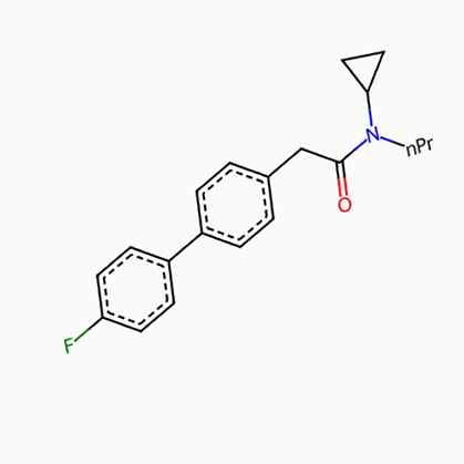 CCCN(C(=O)Cc1ccc(-c2ccc(F)cc2)cc1)C1CC1